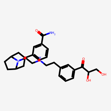 NC(=O)c1cccc(C2CC3CCC(C2)N3CCNCCc2cccc(C(=O)C(O)CO)c2)c1